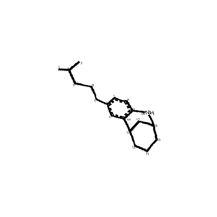 CC(C)CCCc1ccc2c(c1)C1CCCC(C1)N2